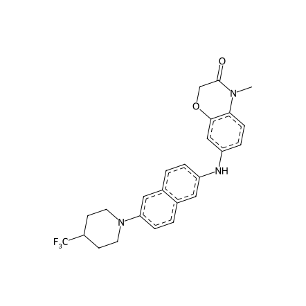 CN1C(=O)COc2cc(Nc3ccc4cc(N5CCC(C(F)(F)F)CC5)ccc4c3)ccc21